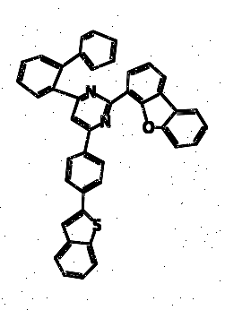 c1ccc(-c2ccccc2-c2cc(-c3ccc(-c4cc5ccccc5s4)cc3)nc(-c3cccc4c3oc3ccccc34)n2)cc1